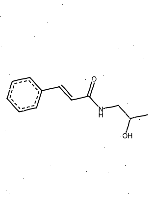 CC(O)CNC(=O)/C=C/c1ccccc1